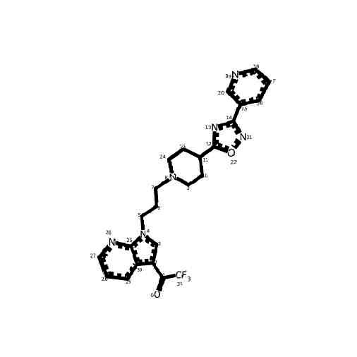 O=C(c1cn(CCCN2CCC(c3nc(-c4cccnc4)no3)CC2)c2ncccc12)C(F)(F)F